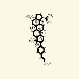 C=C(C)[C@@H]1CC[C@]2(C(=O)O)CC[C@]3(C)[C@H](CC[C@@H]4[C@@]5(C)CC=C(c6ccc(/C=C/C(=O)O)cc6)C(C)(C)[C@@H]5CC[C@]43C)[C@@H]12